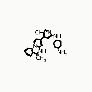 C[C@@H](Nc1cc(-c2cc(N[C@H]3CC[C@H](N)CC3)ncc2Cl)ccn1)c1ccccc1